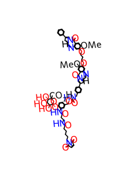 COc1cc2c(cc1OCCCOc1cc3c(cc1OC)C(=O)N1C=C(c4ccc(CNC(=O)OCc5ccc(O[C@@H]6OC(C(=O)O)[C@H](O)C(O)C6O)c(NC(=O)CCNC(=O)CCCCCN6C(=O)C=CC6=O)c5)cc4)C[C@H]1C=N3)N=C[C@@H]1CC(c3ccccc3)=CN1C2=O